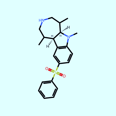 CC1CNCC(C)[C@@H]2c3cc(S(=O)(=O)c4ccccc4)ccc3N(C)[C@H]12